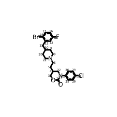 O=C1OCC(CCN2CCC(Cc3cc(F)ccc3Br)CC2)CN1c1ccc(Cl)cc1